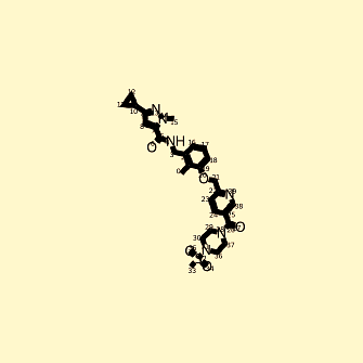 Cc1c(CNC(=O)c2cc(C3CC3)nn2C)cccc1OCc1ccc(C(=O)N2CCN(S(C)(=O)=O)CC2)cn1